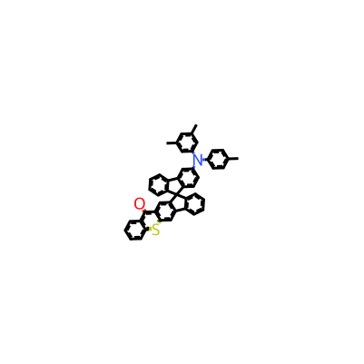 Cc1ccc(N(c2cc(C)cc(C)c2)c2ccc3c(c2)-c2ccccc2C32c3ccccc3-c3cc4sc5ccccc5c(=O)c4cc32)cc1